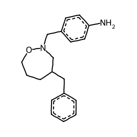 Nc1ccc(CN2CC(Cc3ccccc3)CCCO2)cc1